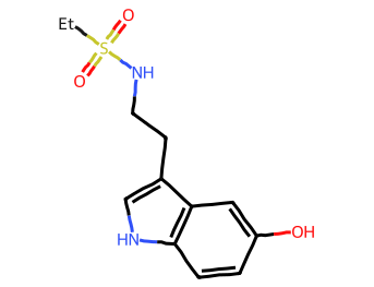 CCS(=O)(=O)NCCc1c[nH]c2ccc(O)cc12